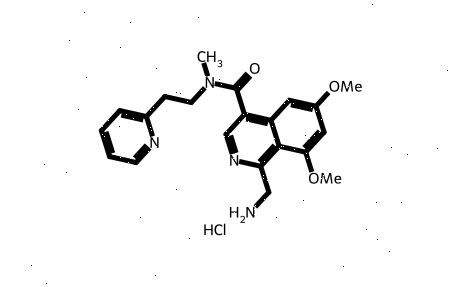 COc1cc(OC)c2c(CN)ncc(C(=O)N(C)CCc3ccccn3)c2c1.Cl